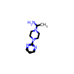 CC(N)N1CCN(c2ncccn2)CC1